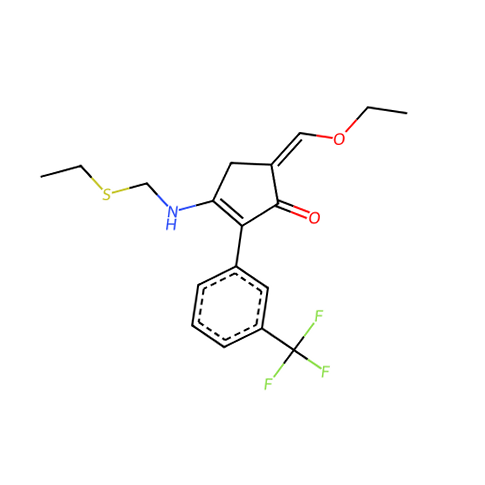 CCO/C=C1/CC(NCSCC)=C(c2cccc(C(F)(F)F)c2)C1=O